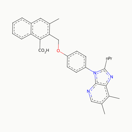 CCCc1nc2c(C)c(C)cnc2n1-c1ccc(OCc2c(C)cc3ccccc3c2C(=O)O)cc1